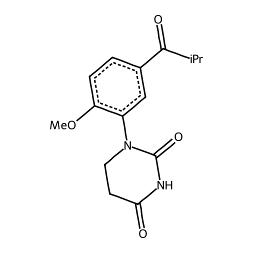 COc1ccc(C(=O)C(C)C)cc1N1CCC(=O)NC1=O